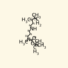 C=C(C)C(C)CCNCCCN(C)C(=O)OC(C)(C)C